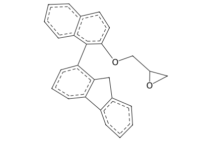 c1ccc2c(c1)Cc1c-2cccc1-c1c(OCC2CO2)ccc2ccccc12